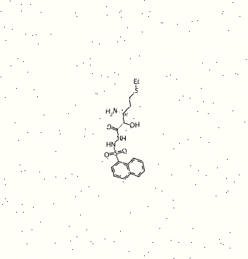 CCSCC[C@@H](N)C(O)C(=O)NNS(=O)(=O)c1cccc2ccccc12